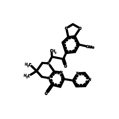 COc1cc(C(=O)C(C)N2CC(C)(C)Cn3c2nc(-c2ccncn2)cc3=O)cc2c1OCO2